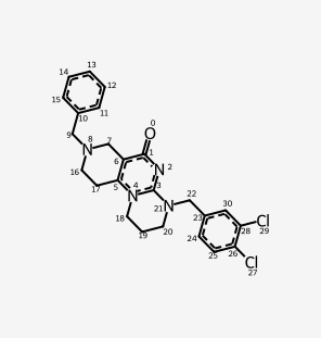 O=c1nc2n(c3c1CN(Cc1ccccc1)CC3)CCCN2Cc1ccc(Cl)c(Cl)c1